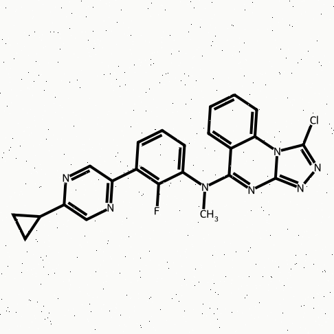 CN(c1cccc(-c2cnc(C3CC3)cn2)c1F)c1nc2nnc(Cl)n2c2ccccc12